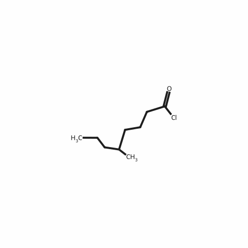 CCCC(C)CCCC(=O)Cl